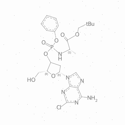 C[C@H](NP(=O)(Oc1ccccc1)OC1C[C@H](n2cnc3c(N)nc(Cl)nc32)O[C@@H]1CO)C(=O)OCC(C)(C)C